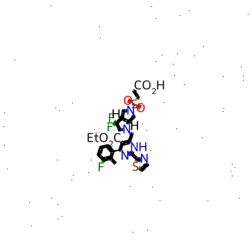 CCOC(=O)C1=C(CN2CC(F)(F)[C@@H]3CN(S(=O)(=O)CCC(=O)O)C[C@@H]32)NC(c2nccs2)=N[C@H]1c1cccc(F)c1C